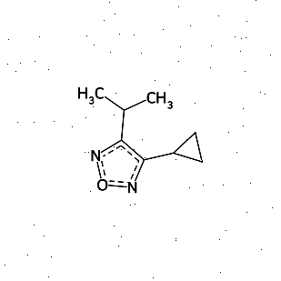 CC(C)c1nonc1C1CC1